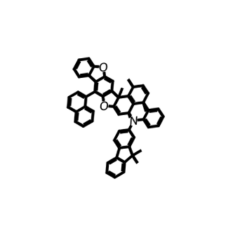 CC1C=CC2(C)C3=C1C1(C)C(=CC3(C)N(c3ccc4c(c3)C(C)(C)c3ccccc3-4)c3ccccc32)Oc2c1cc1oc3ccccc3c1c2-c1cccc2ccccc12